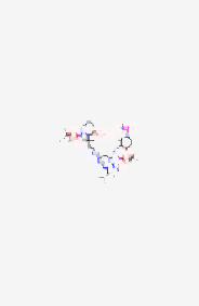 CC(C)c1cnn2c(N(Cc3cccc([N+](=O)[O-])c3)C(=O)OC(C)(C)C)cc(NCCC(C)(C)C3C(O)CCCN3C(=O)OC(C)(C)C)nc12